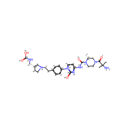 C[C@@H]1CN(C(=O)C(C)(C)N)CCN1C(=O)Nc1ccn(-c2ccc(CCN3CC[C@H](CNC(=O)O)C3)cc2)c(=O)n1